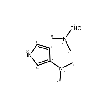 CN(C)C=O.CN(C)c1cc[nH]c1